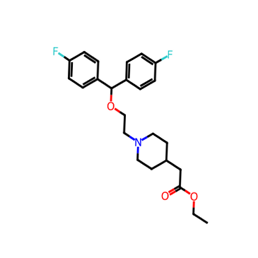 CCOC(=O)CC1CCN(CCOC(c2ccc(F)cc2)c2ccc(F)cc2)CC1